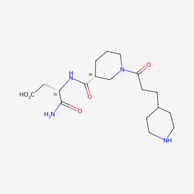 NC(=O)[C@H](CC(=O)O)NC(=O)[C@@H]1CCCN(C(=O)CCC2CCNCC2)C1